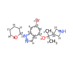 CC(C)(Oc1cc(Br)cc2c1cnn2C1CCCCO1)C1CNC1